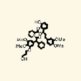 COc1ccc(CCC(OC(=O)C2CCCCN2C(=O)C(c2cc(OC)c(OC)c(OCCCO)c2)C2CCCCC2)c2cccc(O)c2)cc1OC